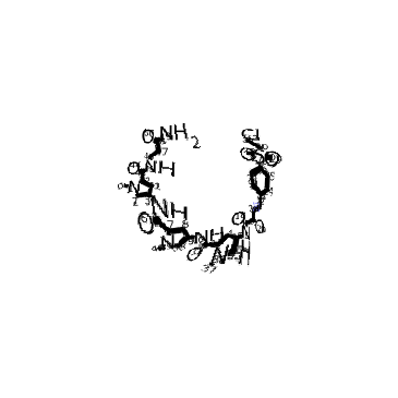 Cn1cc(NC(=O)c2cc(NC(=O)c3cc(NC(=O)C(=O)/C=C/c4ccc(S(=O)(=O)CCCl)cc4)cn3C)cn2C)cc1C(=O)NCCC(N)=O